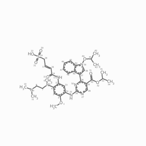 COc1cc(N(C)CCN(C)C)c(NC(=O)/C=C/CS(=O)(=O)O)cc1Nc1ncc(C(=O)OC(C)C)c(-c2cn(OC(C)C)c3ccccc23)n1